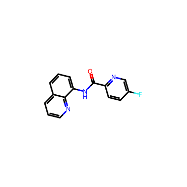 O=C(Nc1cccc2cccnc12)c1ccc(F)cn1